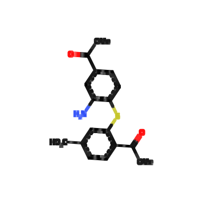 COC(=O)c1ccc(Sc2cc(C(=O)O)ccc2C(=O)OC)c(N)c1